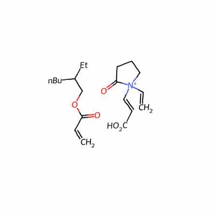 C=CC(=O)OCC(CC)CCCC.C=C[N+]1(C=CC(=O)O)CCCC1=O